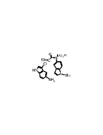 CC(C)(C)OC(=O)N(C(=O)O)c1ccc2c(ccn2C(C)(C)C)c1.Nc1ccc2[nH]cc(Cl)c2c1